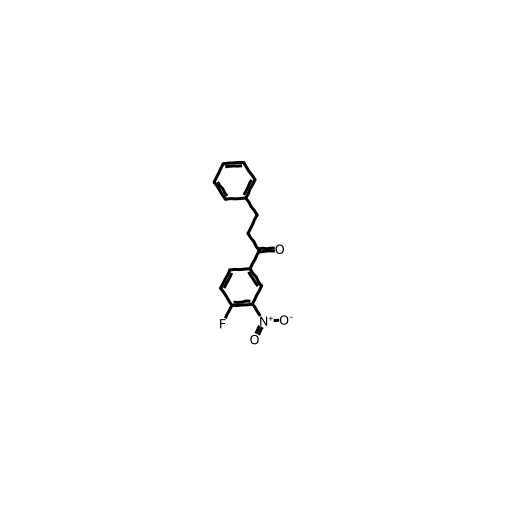 O=C(CCc1ccccc1)c1ccc(F)c([N+](=O)[O-])c1